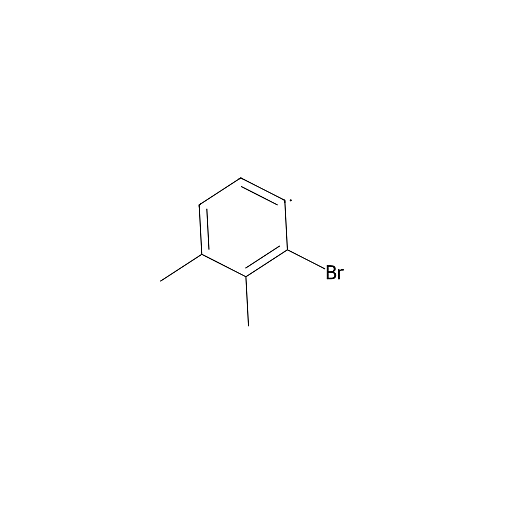 Cc1cc[c]c(Br)c1C